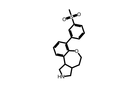 CS(=O)(=O)c1cccc(-c2cccc3c2OCCC2CNCC32)c1